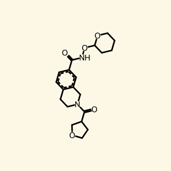 O=C(NOC1CCCCO1)c1ccc2c(c1)CN(C(=O)C1CCOC1)CC2